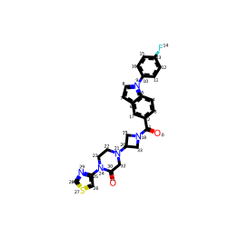 O=C(c1ccc2c(ccn2-c2ccc(F)cc2)c1)N1CC(N2CCN(c3cscn3)C(=O)C2)C1